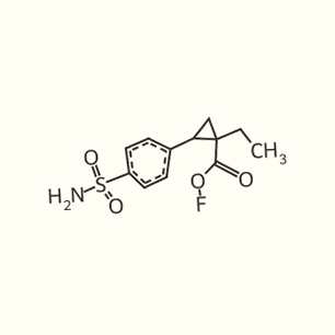 CCC1(C(=O)OF)CC1c1ccc(S(N)(=O)=O)cc1